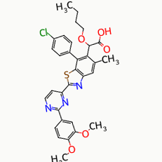 CCCCOC(C(=O)O)c1c(C)cc2nc(-c3ccnc(-c4ccc(OC)c(OC)c4)n3)sc2c1-c1ccc(Cl)cc1